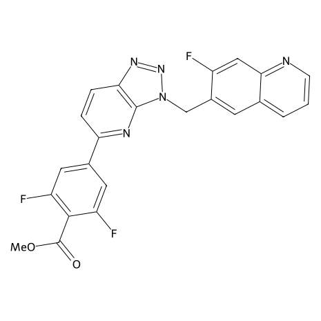 COC(=O)c1c(F)cc(-c2ccc3nnn(Cc4cc5cccnc5cc4F)c3n2)cc1F